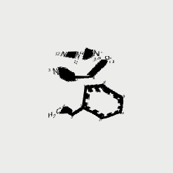 C=CC#N.C=Cc1ccccc1.[N-]=[N+]=[N-]